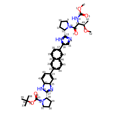 COC(=O)N[C@H](C(=O)N1CCC[C@H]1c1ncc(-c2ccc3cc(C4=CC5N=C([C@@H]6CCCN6C(=O)OC(C)(C)C)NC5C=C4)ccc3c2)[nH]1)[C@@H](C)OC